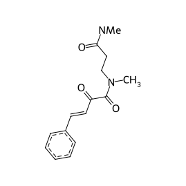 CNC(=O)CCN(C)C(=O)C(=O)/C=C/c1ccccc1